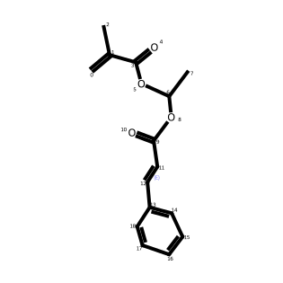 C=C(C)C(=O)OC(C)OC(=O)/C=C/c1ccccc1